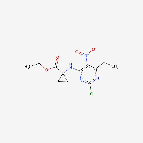 CCOC(=O)C1(Nc2nc(Cl)nc(CC)c2[N+](=O)[O-])CC1